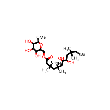 COC1OC(COC(=O)CC(C)(C)CC(C)(C)CC(O)C(O)CC(C)(C)CC(C)(C)C)C(O)C(O)C1O